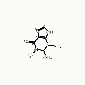 NC1N(N)C(=O)c2nc[nH]c2N1N